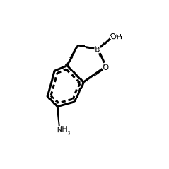 Nc1ccc2c(c1)OB(O)C2